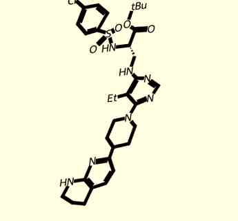 CCc1c(NC[C@H](NS(=O)(=O)c2ccc(Cl)cc2)C(=O)OC(C)(C)C)ncnc1N1CCC(c2ccc3c(n2)NCCC3)CC1